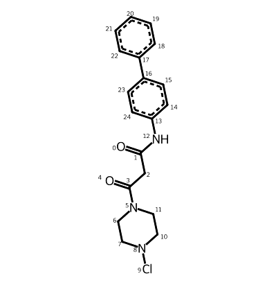 O=C(CC(=O)N1CCN(Cl)CC1)Nc1ccc(-c2ccccc2)cc1